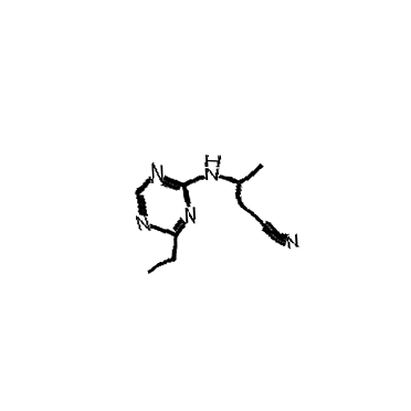 CCc1ncnc(NC(C)CC#N)n1